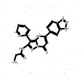 CCC(=O)Nc1nn2c(=O)cc(-c3ccc4nn[nH]c4c3)[nH]c2c1-c1ccccn1